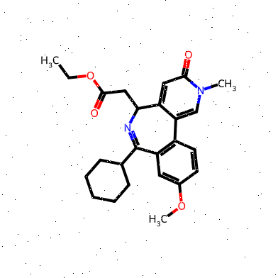 CCOC(=O)CC1N=C(C2CCCCC2)c2cc(OC)ccc2-c2cn(C)c(=O)cc21